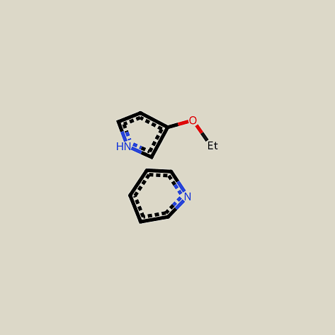 CCOc1cc[nH]c1.c1ccncc1